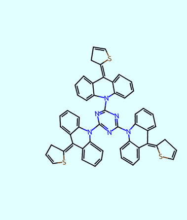 C1=CSC(=C2c3ccccc3N(c3nc(N4c5ccccc5C(=C5CC=CS5)c5ccccc54)nc(N4c5ccccc5C(=C5CC=CS5)c5ccccc54)n3)c3ccccc32)C1